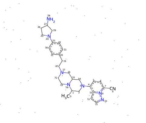 CC1CN(c2ccc(C#N)n3nccc23)CC2CN(CCc3ccc(N4CCC(N)C4)cc3)CCN12